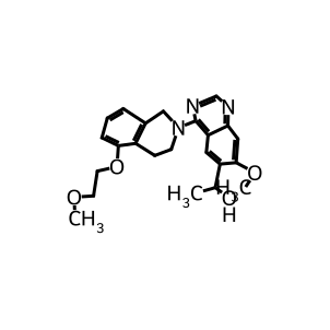 COCCOc1cccc2c1CCN(c1ncnc3cc(OC)c(C(C)O)cc13)C2